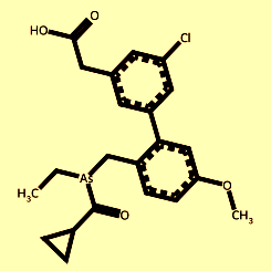 CC[As](Cc1ccc(OC)cc1-c1cc(Cl)cc(CC(=O)O)c1)C(=O)C1CC1